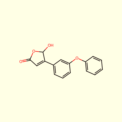 O=C1C=C(c2cccc(Oc3ccccc3)c2)C(O)O1